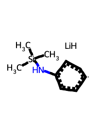 C[Si](C)(C)Nc1cc[c]cc1.[LiH]